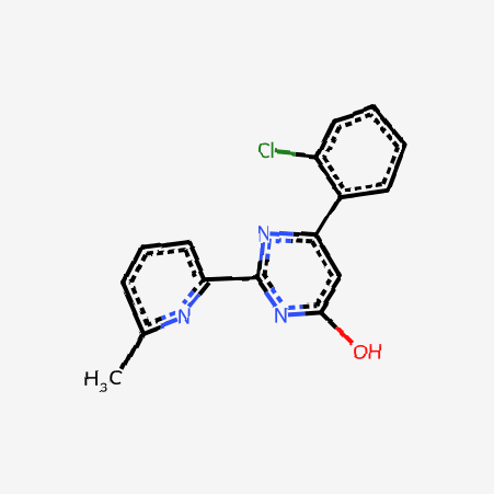 Cc1cccc(-c2nc(O)cc(-c3ccccc3Cl)n2)n1